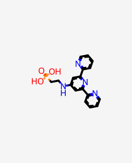 O=P(O)(O)CCNc1cc(-c2ccccn2)nc(-c2ccccn2)c1